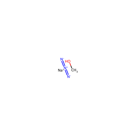 CO.[N-]=[N+]=[N-].[Na+]